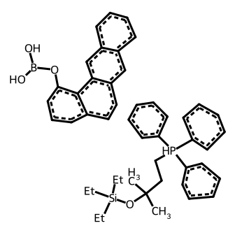 CC[Si](CC)(CC)OC(C)(C)CC[PH](c1ccccc1)(c1ccccc1)c1ccccc1.OB(O)Oc1cccc2ccc3cc4ccccc4cc3c12